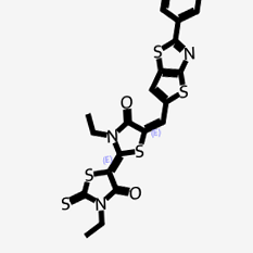 CCN1C(=O)/C(=c2\s/c(=C/c3cc4sc(-c5ccccc5)nc4s3)c(=O)n2CC)SC1=S